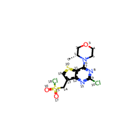 C[C@@H]1COCCN1c1nc(Cl)nc2c(CS(=O)(=O)Cl)csc12